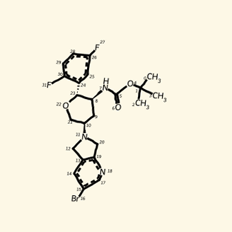 CC(C)(C)OC(=O)N[C@H]1C[C@@H](N2Cc3cc(Br)cnc3C2)CO[C@@H]1c1cc(F)ccc1F